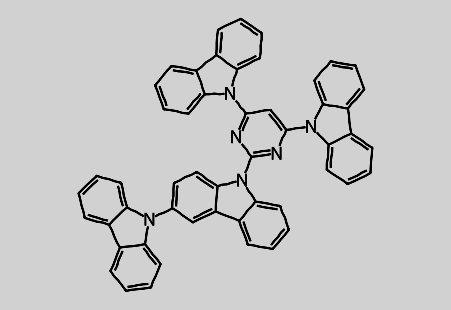 c1ccc2c(c1)c1ccccc1n2-c1ccc2c(c1)c1ccccc1n2-c1nc(-n2c3ccccc3c3ccccc32)cc(-n2c3ccccc3c3ccccc32)n1